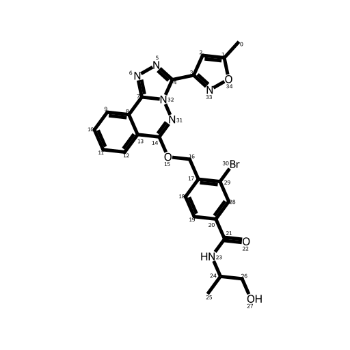 Cc1cc(-c2nnc3c4ccccc4c(OCc4ccc(C(=O)NC(C)CO)cc4Br)nn23)no1